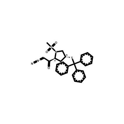 CS(=O)(=O)N1C[C@H](SC(c2ccccc2)(c2ccccc2)c2ccccc2)C[C@H]1C(=O)C=[N+]=[N-]